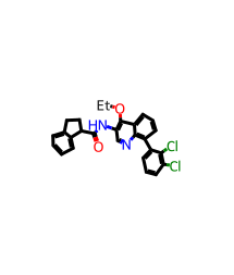 CCOc1c(NC(=O)C2CCc3ccccc32)cnc2c(-c3cccc(Cl)c3Cl)cccc12